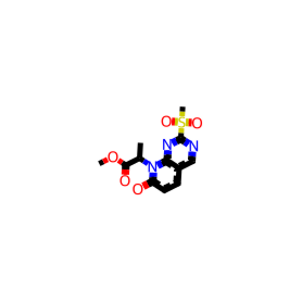 COC(=O)C(C)n1c(=O)ccc2cnc(S(C)(=O)=O)nc21